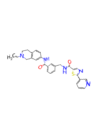 C=CN1CCc2ccc(NC(=O)c3cccc(CNC(=O)c4cnc(-c5cccnc5)s4)c3)cc2C1